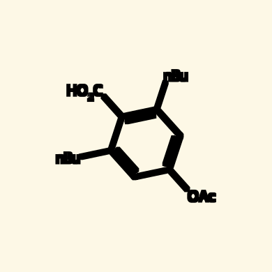 CCCCc1cc(OC(C)=O)cc(CCCC)c1C(=O)O